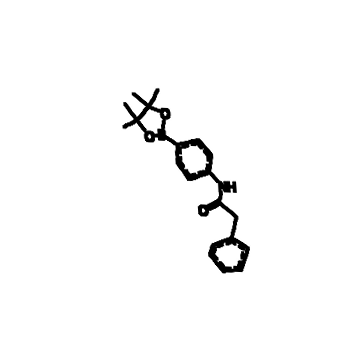 CC1(C)OB(c2ccc(NC(=O)Cc3ccccc3)cc2)OC1(C)C